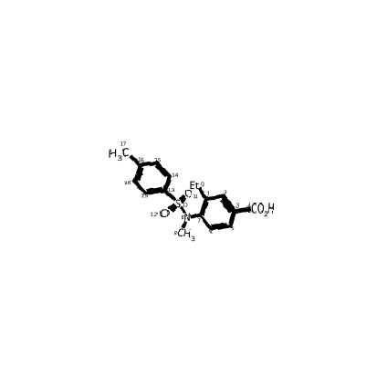 CCc1cc(C(=O)O)ccc1N(C)S(=O)(=O)c1ccc(C)cc1